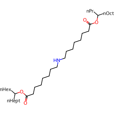 CCCCCCCCC(CCC)OC(=O)CCCCCCCNCCCCCCCC(=O)OC(CCCCCC)CCCCCCC